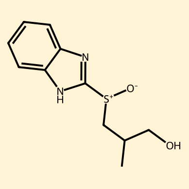 CC(CO)C[S+]([O-])c1nc2ccccc2[nH]1